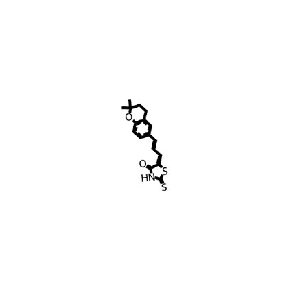 CC1(C)CCc2cc(C=CC=C3SC(=S)NC3=O)ccc2O1